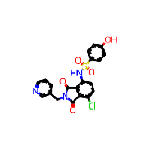 O=C1c2c(Cl)ccc(NS(=O)(=O)c3ccc(O)cc3)c2C(=O)N1Cc1cccnc1